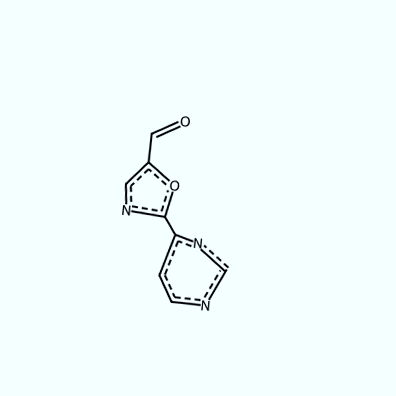 O=Cc1cnc(-c2ccncn2)o1